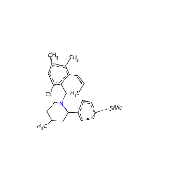 C/C=C\c1c(C)c(C)cc(CC)c1CN1CCC(C)CC1c1ccc(SC)cc1